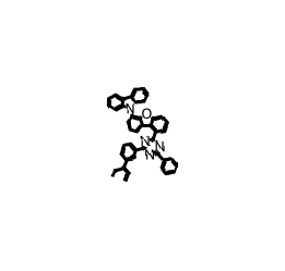 C=C/C(=C\C)c1cccc(-c2nc(-c3ccccc3)nc(-c3cccc4oc5c(-n6c7ccccc7c7ccccc76)cccc5c34)n2)c1